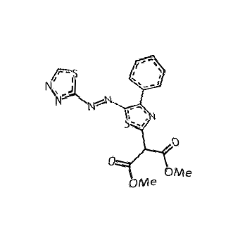 COC(=O)C(C(=O)OC)c1nc(-c2ccccc2)c(/N=N/c2nncs2)s1